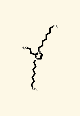 CCCCCCCCn1cc[n+](CCCCCCCC)c1CCC